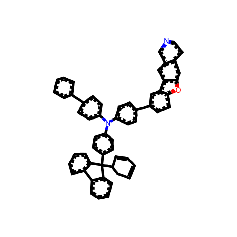 C1=CCC(C2(c3ccc(N(c4ccc(-c5ccccc5)cc4)c4ccc(-c5ccc6oc7cc8ccncc8cc7c6c5)cc4)cc3)c3ccccc3-c3ccccc32)C=C1